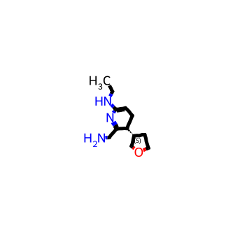 CCNC1=CCC([C@@H]2CCOC2)C(CN)=N1